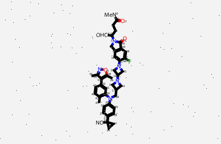 CNC(=O)CCC(C=O)N1Cc2cc(N3CC(N4CC(CN(c5ccc(C6(C#N)CC6)cc5)c5cc(-c6c(C)noc6C)ccc5C)C4)C3)c(F)cc2C1=O